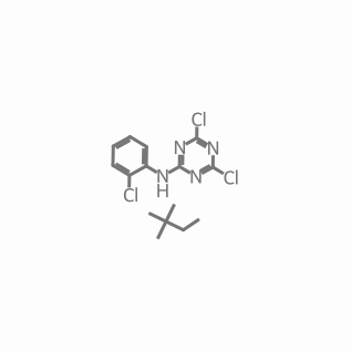 CCC(C)(C)C.Clc1nc(Cl)nc(Nc2ccccc2Cl)n1